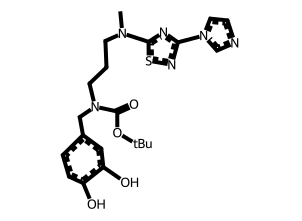 CN(CCCN(Cc1ccc(O)c(O)c1)C(=O)OC(C)(C)C)c1nc(-n2ccnc2)ns1